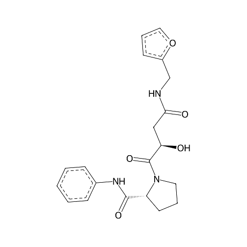 O=C(C[C@@H](O)C(=O)N1CCC[C@@H]1C(=O)Nc1ccccc1)NCc1ccco1